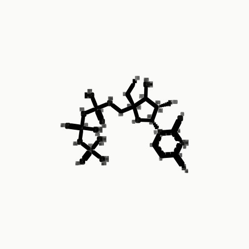 O=c1[nH]c(=S)ccn1[C@@H]1O[C@](CF)(COP(=O)(O)OP(=O)(O)OP(=O)(O)O)C(O)[C@@H]1F